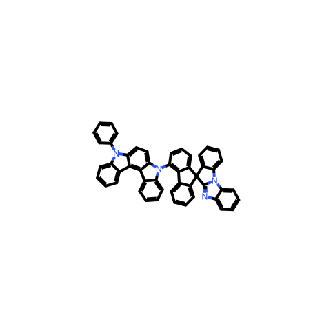 c1ccc(-n2c3ccccc3c3c4c5ccccc5n(-c5cccc6c5-c5ccccc5C65c6ccccc6-n6c5nc5ccccc56)c4ccc32)cc1